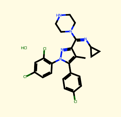 Cc1c(C(=NC2CC2)N2CCNCC2)nn(-c2ccc(Cl)cc2Cl)c1-c1ccc(Cl)cc1.Cl